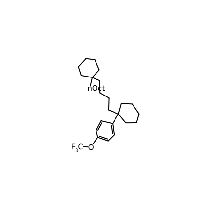 CCCCCCCCC1(CCCCC2(c3ccc(OC(F)(F)F)cc3)CCCCC2)CCCCC1